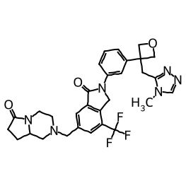 Cn1cnnc1CC1(c2cccc(N3Cc4c(cc(CN5CCN6C(=O)CCC6C5)cc4C(F)(F)F)C3=O)c2)COC1